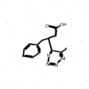 Cc1nnnnc1C(CC(=O)O)Cc1ccccc1